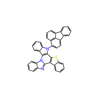 c1ccc2c(c1)-c1cccc3c(-n4c5ccccc5c5c4c4sc6ccccc6c4c4nc6ccccc6n45)ccc-2c13